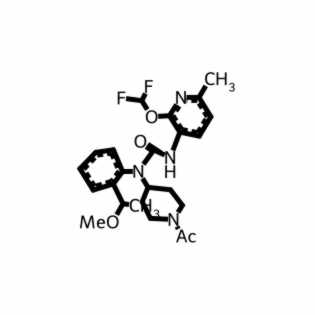 COC(C)c1ccccc1N(C(=O)Nc1ccc(C)nc1OC(F)F)C1CCN(C(C)=O)CC1